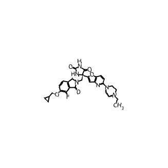 CCN1CCN(c2ccc3oc([C@]4(CN5Cc6ccc(OCC7CC7)c(F)c6C5=O)NC(=O)NC4=O)cc3n2)CC1